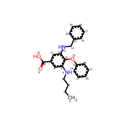 CCCCNc1cc(C(=O)O)cc(NCc2ccccc2)c1Oc1ccccc1